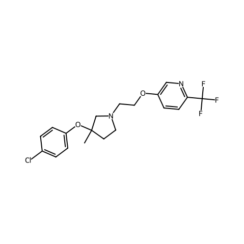 CC1(Oc2ccc(Cl)cc2)CCN(CCOc2ccc(C(F)(F)F)nc2)C1